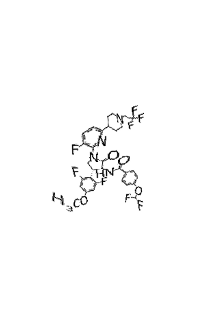 COc1cc(F)c([C@@H]2CN(c3nc(C4CCN(CC(F)(F)F)CC4)ccc3F)C(=O)[C@H]2NC(=O)c2ccc(OC(F)F)cc2)c(F)c1